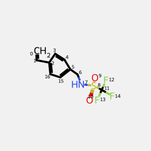 C=Cc1ccc(CNS(=O)(=O)C(F)(F)F)cc1